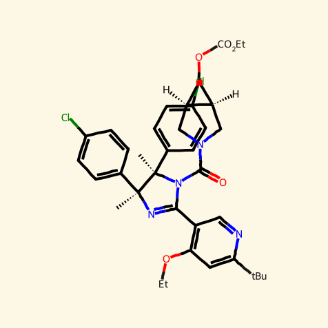 CCOC(=O)OC1[C@H]2CN(C(=O)N3C(c4cnc(C(C)(C)C)cc4OCC)=N[C@@](C)(c4ccc(Cl)cc4)[C@@]3(C)c3ccc(Cl)cc3)C[C@@H]12